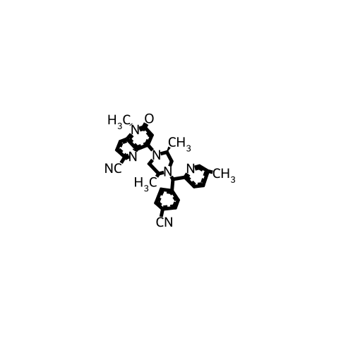 Cc1ccc(C(c2ccc(C#N)cc2)N2C[C@H](C)N(c3cc(=O)n(C)c4ccc(C#N)nc34)CC2C)nc1